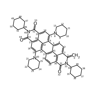 C=c1c2ccc3c4c(N5CCCCC5)cc5c6c(cc(N7CCCCC7)c(c7ccc(c(=O)n1C1CCCCC1)c2c37)c64)C(=O)N(C1CCCCC1)C5=O